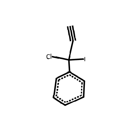 [C]#CC(Cl)(I)c1ccccc1